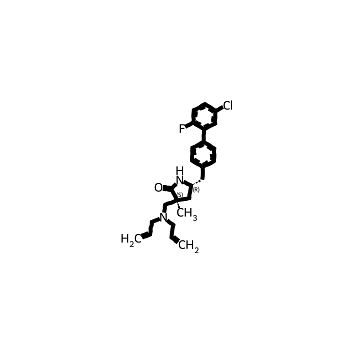 C=CCN(CC=C)C[C@]1(C)C[C@@H](Cc2ccc(-c3cc(Cl)ccc3F)cc2)NC1=O